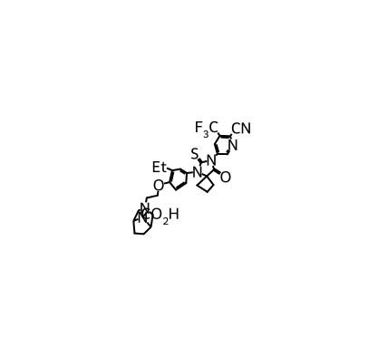 CCc1cc(N2C(=S)N(c3cnc(C#N)c(C(F)(F)F)c3)C(=O)C23CCC3)ccc1OCCN1CC2CCC(C1)N2C(=O)O